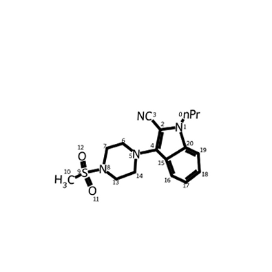 CCCn1c(C#N)c(N2CCN(S(C)(=O)=O)CC2)c2ccccc21